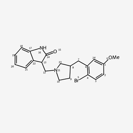 COc1ccc(Br)c(CC2CCN(CC3C(=O)Nc4ccccc43)C2)c1